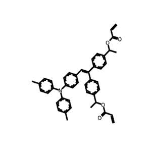 C=CC(=O)OC(C)c1ccc(C(=Cc2ccc(N(c3ccc(C)cc3)c3ccc(C)cc3)cc2)c2ccc(C(C)OC(=O)C=C)cc2)cc1